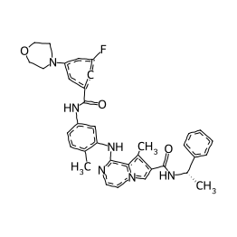 Cc1ccc(NC(=O)c2cc(F)cc(N3CCOCC3)c2)cc1Nc1nccn2cc(C(=O)N[C@@H](C)c3ccccc3)c(C)c12